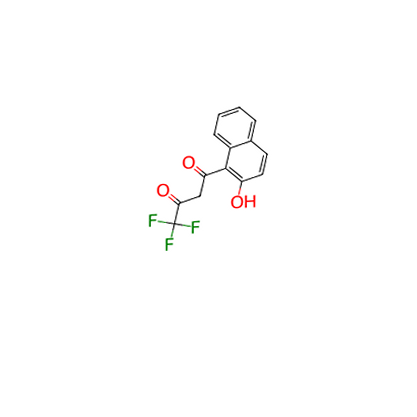 O=C(CC(=O)C(F)(F)F)c1c(O)ccc2ccccc12